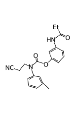 CCC(=O)Nc1cccc(OC(=O)N(CCC#N)c2cccc(C)c2)c1